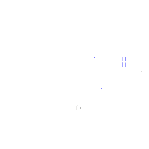 Cc1nc(NC(C)C)nc(C(C)(C)C)c1Cc1ccc(F)cc1